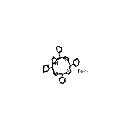 C1=Cc2nc1c(-c1ccccc1)c1ccc([n-]1)c(-c1ccccc1)c1nc(c(-c3ccccc3)c3ccc([n-]3)c2-c2ccccc2)C=C1.[Fe+2]